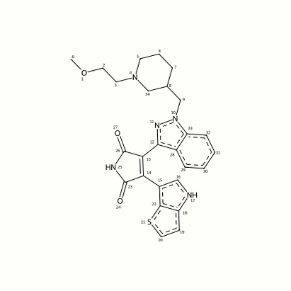 COCCN1CCCC(Cn2nc(C3=C(c4c[nH]c5ccsc45)C(=O)NC3=O)c3ccccc32)C1